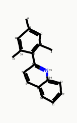 Cc1cc(C)c(-c2ccc3ccccc3n2)c(C)c1